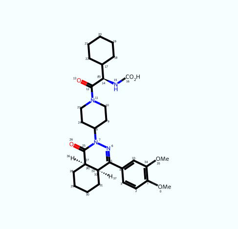 COc1ccc(C2=NN(C3CCN(C(=O)[C@H](NC(=O)O)C4CCCCC4)CC3)C(=O)[C@@H]3CCCC[C@H]23)cc1OC